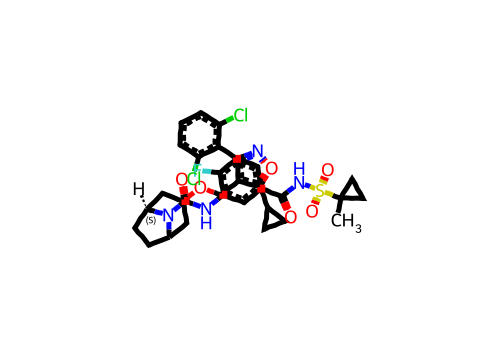 CC1(S(=O)(=O)NC(=O)c2ccc(F)c(NC(=O)N3C4CC[C@H]3CC(OCc3c(-c5c(Cl)cccc5Cl)noc3C3CC3)C4)c2)CC1